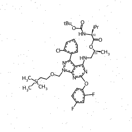 CC(C)[C@H](NC(=O)OC(C)(C)C)C(=O)O[C@@H](C)CNc1nc(Oc2ccc(F)cc2F)nc2c1c(-c1ccccc1Cl)nn2COCC[Si](C)(C)C